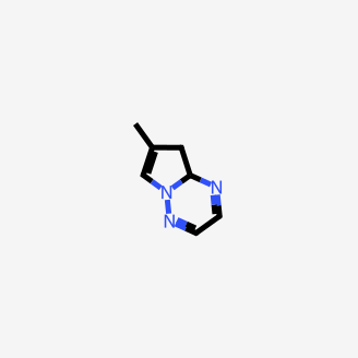 CC1=CN2N=CC=NC2C1